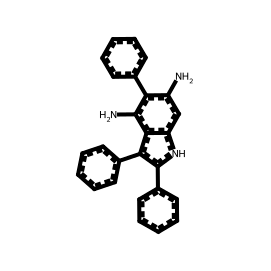 Nc1cc2[nH]c(-c3ccccc3)c(-c3ccccc3)c2c(N)c1-c1ccccc1